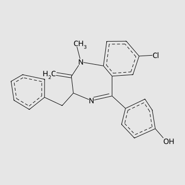 C=C1C(Cc2ccccc2)N=C(c2ccc(O)cc2)c2cc(Cl)ccc2N1C